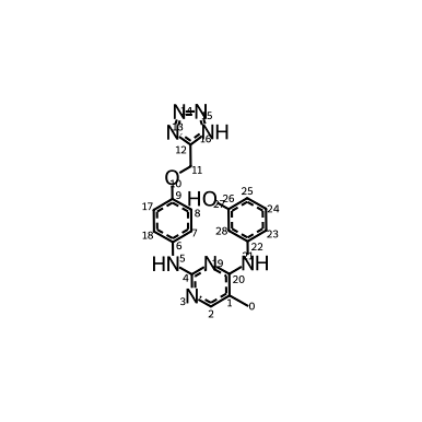 Cc1cnc(Nc2ccc(OCc3nnn[nH]3)cc2)nc1Nc1cccc(O)c1